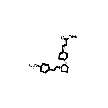 COC(=O)/C=C/c1ccc([C@@H]2CCCN2CCc2ccc([N+](=O)[O-])cc2)cc1